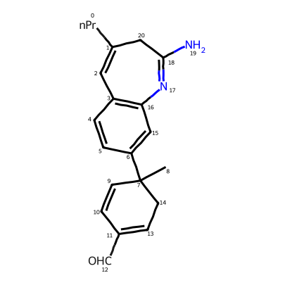 CCCC1=Cc2ccc(C3(C)C=CC(C=O)=CC3)cc2N=C(N)C1